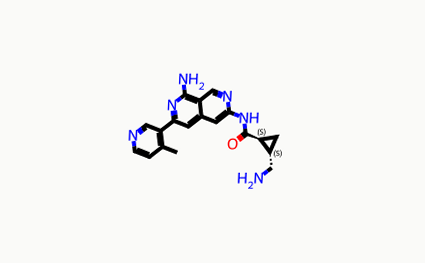 Cc1ccncc1-c1cc2cc(NC(=O)[C@H]3C[C@@H]3CN)ncc2c(N)n1